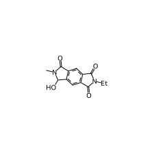 CCN1C(=O)c2cc3c(cc2C1=O)C(O)N(C)C3=O